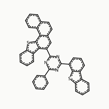 c1ccc(-c2nc(-c3cccc4c3sc3ccccc34)nc(-c3cc4ccc5ccccc5c4c4sc5ccccc5c34)n2)cc1